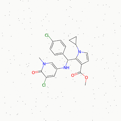 COC(=O)c1ccn(C2CC2)c1C(Nc1cc(Cl)c(=O)n(C)c1)c1ccc(Cl)cc1